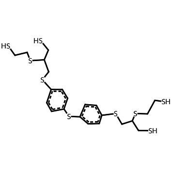 SCCSC(CS)CSc1ccc(Sc2ccc(SCC(CS)SCCS)cc2)cc1